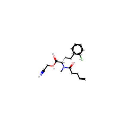 C=CCCC(=O)N(C)[C@@H](CCc1ccccc1Cl)C(=O)OCC#N